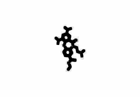 CCOC(=O)c1ccc2c(c1)N(CCN(C)C)C(=O)c1cc(C(C)C)cc(C(C)C)c1O2